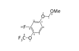 COCOc1ccc(OC(F)(F)F)c(F)c1